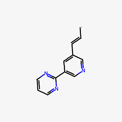 [CH2]/C=C/c1cncc(-c2ncccn2)c1